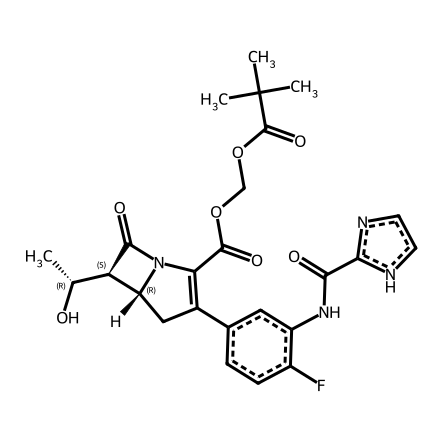 C[C@@H](O)[C@H]1C(=O)N2C(C(=O)OCOC(=O)C(C)(C)C)=C(c3ccc(F)c(NC(=O)c4ncc[nH]4)c3)C[C@H]12